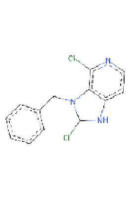 Clc1nccc2c1N(Cc1ccccc1)C(Cl)N2